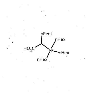 CCCCCC[N+](CCCCCC)(CCCCCC)C(CCCCC)C(=O)O